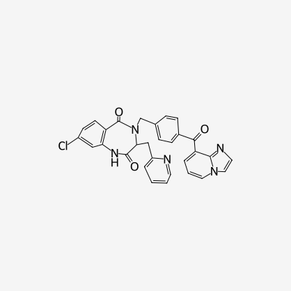 O=C(c1ccc(CN2C(=O)c3ccc(Cl)cc3NC(=O)C2Cc2ccccn2)cc1)c1cccn2ccnc12